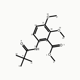 COC(=O)c1c(NC(=O)C(C)(C)C)ccc(OC)c1OC